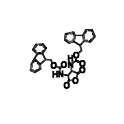 O=C(NC1C(=O)OC(=O)C1NC(=O)OCC1c2ccccc2-c2ccccc21)OCC1c2ccccc2-c2ccccc21